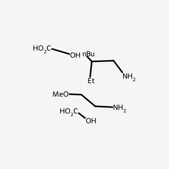 CCCCC(CC)CN.COCCN.O=C(O)O.O=C(O)O